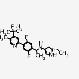 CC[C@H]1CC(NC(C)c2cc(F)c(-c3cc(C(C)(C)F)c(C)cn3)cc2F)=CN1